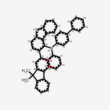 CC1(C)c2ccccc2-c2ccc(-c3ccc4sc5ccccc5c4c3N(c3ccccc3)c3ccc(-c4ccccc4)cc3)cc21